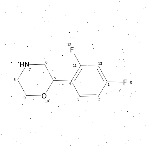 Fc1ccc(C2CNCCO2)c(F)c1